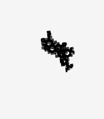 CC1(C)CC[C@]2(n3cc(C(F)F)nn3)CC[C@]3(C)[C@H](C(=O)C=C4[C@@]5(C)C=C(C#N)C(=O)C(C)(C)[C@@H]5CC[C@]43C)[C@@H]2C1